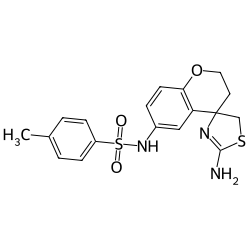 Cc1ccc(S(=O)(=O)Nc2ccc3c(c2)C2(CCO3)CSC(N)=N2)cc1